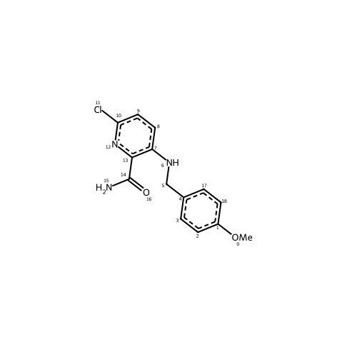 COc1ccc(CNc2ccc(Cl)nc2C(N)=O)cc1